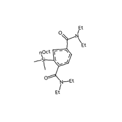 CCCCCCCC[Si](C)(C)c1cc(C(=O)N(CC)CC)ccc1C(=O)N(CC)CC